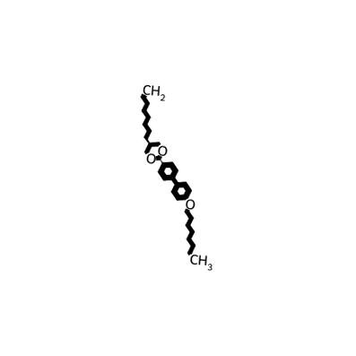 C=CCCCCCC[C@H]1CO[C@H](c2ccc(-c3ccc(OCCCCCCCC)cc3)cc2)OC1